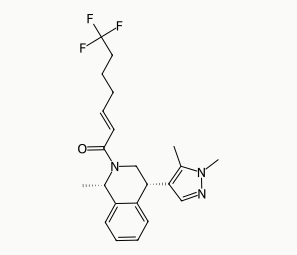 Cc1c([C@H]2CN(C(=O)/C=C/CCCC(F)(F)F)[C@@H](C)c3ccccc32)cnn1C